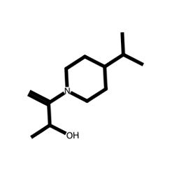 C=C(C(C)O)N1CCC(C(C)C)CC1